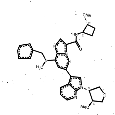 CO[C@@H]1COC[C@H]1n1cc(-c2cc(N(C)Cc3ccccc3)c3ncc(C(=O)N[C@@H]4CC[C@H]4OC)n3n2)c2cccnc21